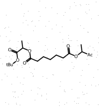 CC(=O)C(C)OC(=O)CCCCCC(=O)OC(C)C(=O)OC(C)(C)C